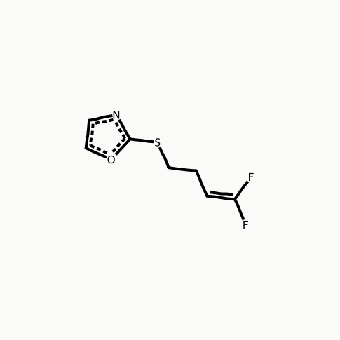 FC(F)=CCCSc1ncco1